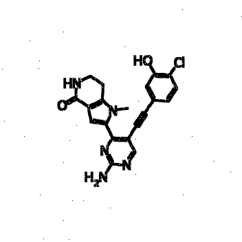 Cn1c(-c2nc(N)ncc2C#Cc2ccc(Cl)c(O)c2)cc2c1CCNC2=O